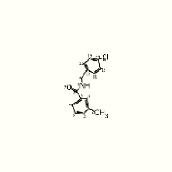 Cc1cccc(C(=O)NCc2ccc(Cl)cc2)c1